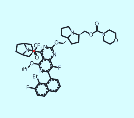 CCc1c(F)ccc2cccc(-c3nc(OC(C)C)c4c(N5CC6CCC(C5)N6C(=O)C(F)(F)F)nc(OC[C@]56CCCN5[C@@H](COC(=O)N5CCOCC5)CC6)nc4c3F)c12